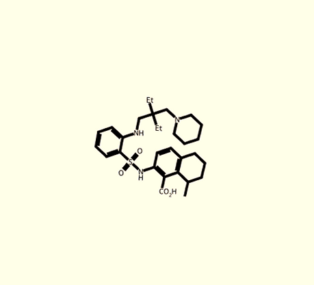 CCC(CC)(CNc1ccccc1S(=O)(=O)Nc1ccc2c(c1C(=O)O)C(C)CCC2)CN1CCCCC1